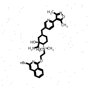 CCCCc1cc2ccccc2c(OCC[N+](C)(C)[C@H]2CCC(Cc3ccc(-c4c(C)noc4C)nc3)C[C@@]2(O)C(N)=O)n1